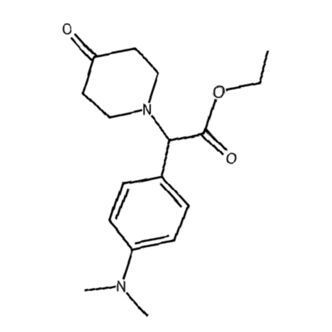 CCOC(=O)C(c1ccc(N(C)C)cc1)N1CCC(=O)CC1